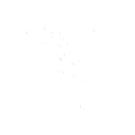 COC(=O)C1=C(C)N(c2cccc(C(F)(F)F)c2)C(=N)N(C(N)=O)[C@@H]1c1ccc(C#N)cc1CC[N+](C)(C)Cc1cc(C)nn1C